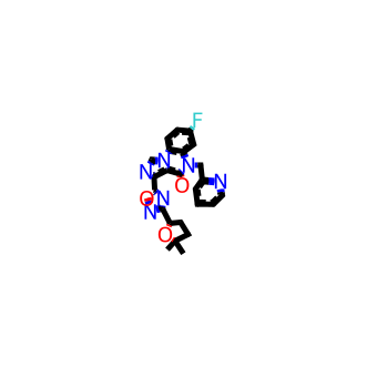 CC1(C)CCC(c2noc(-c3ncn4c3c(=O)n(Cc3ccccn3)c3cc(F)ccc34)n2)O1